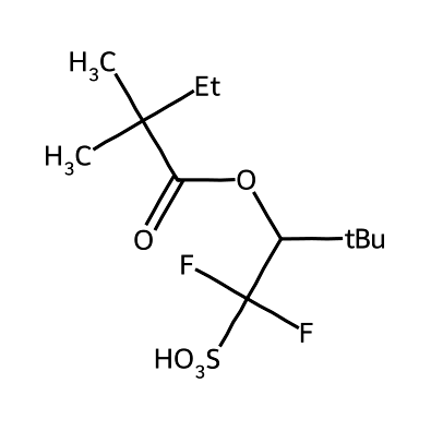 CCC(C)(C)C(=O)OC(C(C)(C)C)C(F)(F)S(=O)(=O)O